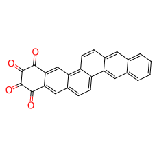 O=c1c(=O)c(=O)c2cc3c(ccc4c5cc6ccccc6cc5ccc34)cc2c1=O